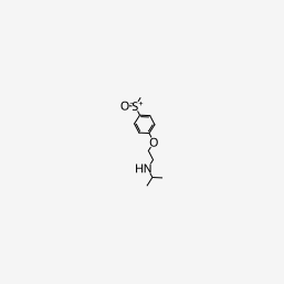 CC(C)NCCOc1ccc([S+](C)[O-])cc1